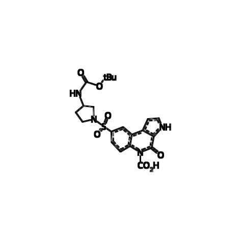 CC(C)(C)OC(=O)NC1CCN(S(=O)(=O)c2ccc3c(c2)c2cc[nH]c2c(=O)n3C(=O)O)C1